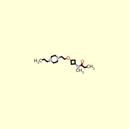 CCCN1CCN(CCO[C@H]2C[C@H](N(C)C(=O)CC)C2)CC1